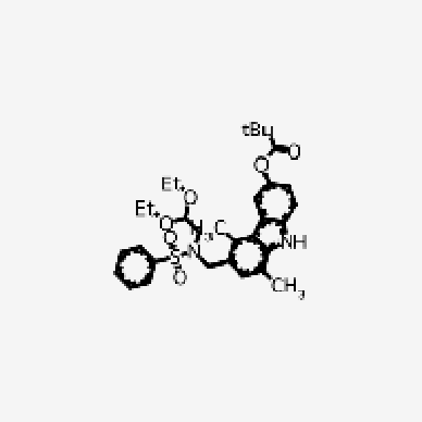 CCOC(CN(Cc1cc(C)c2[nH]c3ccc(OC(=O)C(C)(C)C)cc3c2c1C)S(=O)(=O)c1ccccc1)OCC